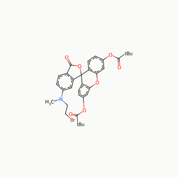 CN(CCBr)c1ccc2c(c1)C1(OC2=O)c2ccc(OC(=O)C(C)(C)C)cc2Oc2cc(OC(=O)C(C)(C)C)ccc21